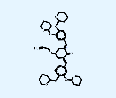 C#CCOC1C/C(=C\c2ccc(OC3CCCCO3)c(OC3CCCCO3)c2)C(=O)/C(=C/c2ccc(OC3CCCCO3)c(OC3CCCCO3)c2)C1